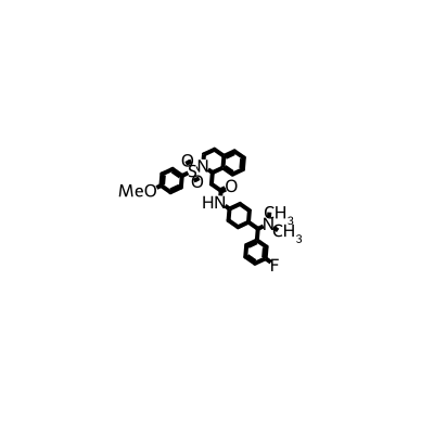 COc1ccc(S(=O)(=O)N2CCc3ccccc3C2CC(=O)NC2CCC(C(c3cccc(F)c3)N(C)C)CC2)cc1